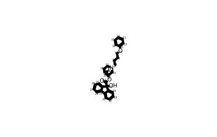 O=C(OC1C[N+]2(CCCCOc3ccccc3)CCC1CC2)C1(O)c2ccccc2-c2ccccc21